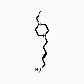 CC/C=C/CCN1CCN(CC)CC1